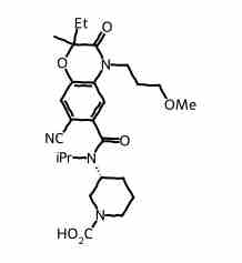 CCC1(C)Oc2cc(C#N)c(C(=O)N(C(C)C)[C@@H]3CCCN(C(=O)O)C3)cc2N(CCCOC)C1=O